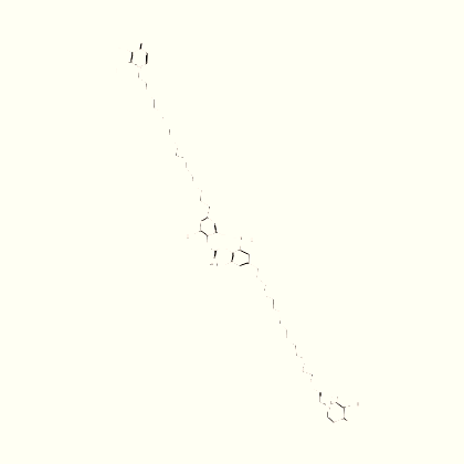 Cc1c(O)c(=O)ccn1CCOCCOCCOCCOCCOCCCc1cc(C(C)(C)C)c(OC(=O)Oc2c(C(C)(C)C)cc(CCCOCCOCCOCCOCCOCCn3ccc(=O)c(O)c3C)cc2C(C)(C)C)c(C(C)(C)C)c1